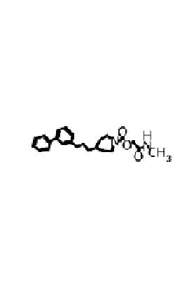 CNC(=O)COC(=O)N1CCC(CCCc2cccc(-c3ccccc3)c2)CC1